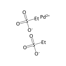 CCS(=O)(=O)[O-].CCS(=O)(=O)[O-].[Pd+2]